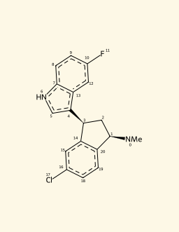 CN[C@@H]1C[C@H](c2c[nH]c3ccc(F)cc23)c2cc(Cl)ccc21